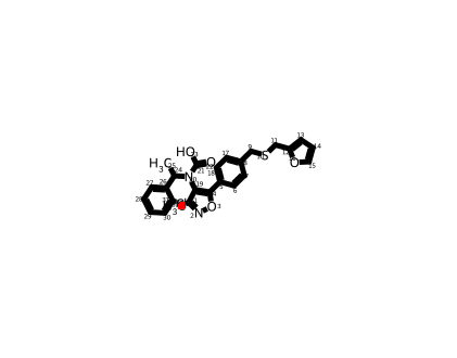 Cc1noc(-c2ccc(CSCc3ccco3)cc2)c1N(C(=O)O)C(C)c1ccccc1Cl